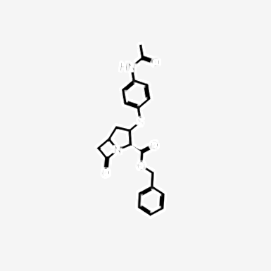 CC(=O)Nc1ccc(SC2CC3CC(=O)N3[C@@H]2C(=O)OCc2ccccc2)cc1